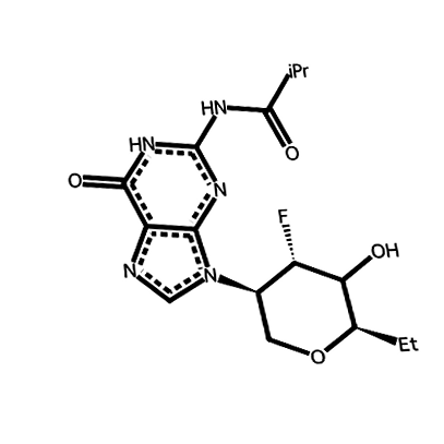 CC[C@H]1OC[C@@H](n2cnc3c(=O)[nH]c(NC(=O)C(C)C)nc32)[C@H](F)C1O